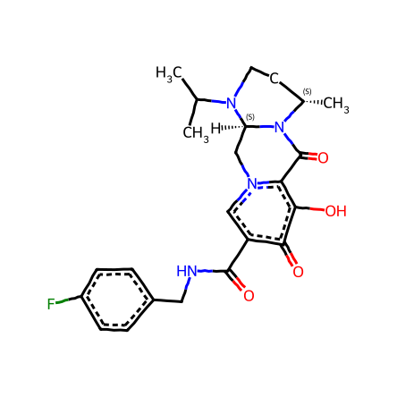 CC(C)N1CC[C@H](C)N2C(=O)c3c(O)c(=O)c(C(=O)NCc4ccc(F)cc4)cn3C[C@@H]12